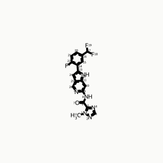 Cn1ncnc1C(=O)Nc1cc2[nH]c(-c3cc(C(F)F)ccc3F)cc2cn1